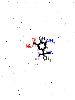 Cc1c(N)cc(C(C)(C#N)CI)cc1C(=O)O